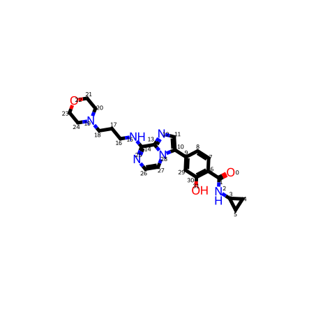 O=C(NC1CC1)c1ccc(-c2cnc3c(NCCCN4CCOCC4)nccn23)cc1O